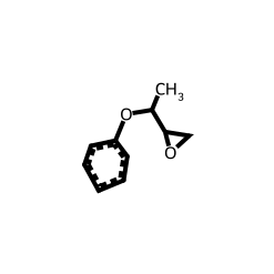 CC(Oc1ccccc1)C1CO1